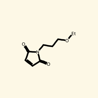 CCOCCCN1C(=O)C=CC1=O